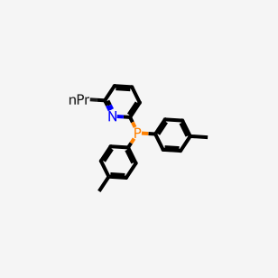 CCCc1cccc(P(c2ccc(C)cc2)c2ccc(C)cc2)n1